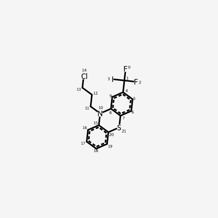 FC(F)(I)c1ccc2c(c1)N(CCCCl)c1ccccc1S2